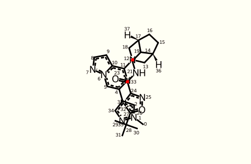 Cn1cc(-c2cn3nccc3c(N3C[C@H]4CC[C@@H](C3)C4CNC(=O)c3noc(C(C)(C)C)n3)n2)cn1